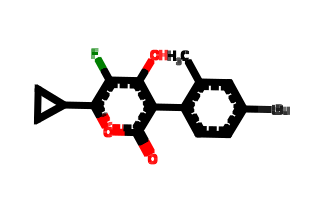 Cc1cc(C(C)(C)C)ccc1-c1c(O)c(F)c(C2CC2)oc1=O